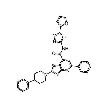 O=C(Nc1nnc(-c2ccco2)o1)c1cc(-c2ccccc2)nc2nc(N3CCC(c4ccccc4)CC3)sc12